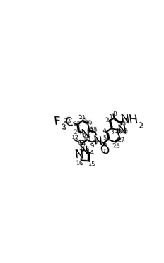 Cc1cc2cc(C(=O)N(CC[C@H](C)n3cccn3)Cc3ccc(C(F)(F)F)cn3)ccc2nc1N